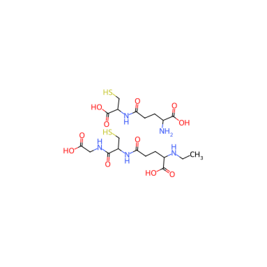 CCNC(CCC(=O)NC(CS)C(=O)NCC(=O)O)C(=O)O.NC(CCC(=O)NC(CS)C(=O)O)C(=O)O